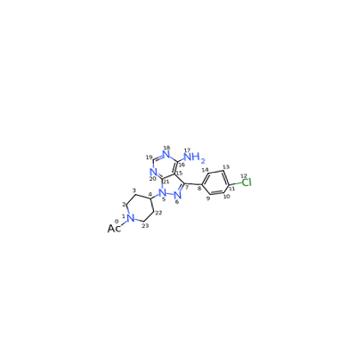 CC(=O)N1CCC(n2nc(-c3ccc(Cl)cc3)c3c(N)ncnc32)CC1